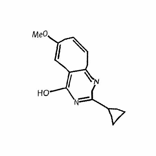 COc1ccc2nc(C3CC3)nc(O)c2c1